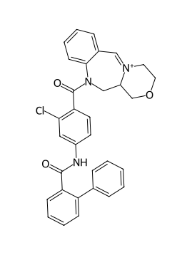 O=C(Nc1ccc(C(=O)N2CC3COCC[N+]3=Cc3ccccc32)c(Cl)c1)c1ccccc1-c1ccccc1